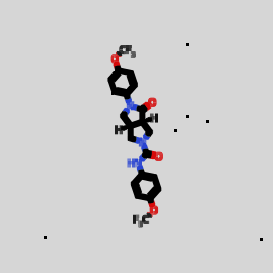 O=C(Nc1ccc(OC(F)(F)F)cc1)N1C[C@@H]2CN(c3ccc(OC(F)(F)F)cc3)C(=O)[C@@H]2C1